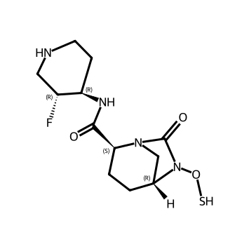 O=C(N[C@@H]1CCNC[C@H]1F)[C@@H]1CC[C@@H]2CN1C(=O)N2OS